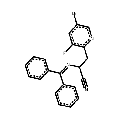 N#CC(Cc1ncc(Br)cc1F)N=C(c1ccccc1)c1ccccc1